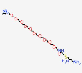 Cc1cn(CCOCCOCCOCCOCCOCCOCCOCCOCCOCCOCCNC(=O)CCSSC[C@H](N)CCN)nn1